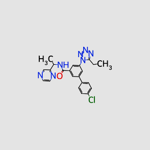 CCc1nnnn1-c1cc(C(=O)NC(C)c2cnccn2)cc(-c2ccc(Cl)cc2)c1